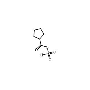 O=C(OS(=O)(=O)Cl)C1CCCC1